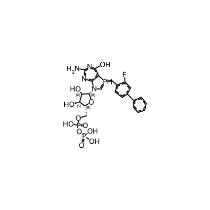 Nc1nc(O)c2c(n1)N([C@@H]1O[C@H](COP(=O)(O)OP(=O)(O)O)[C@@H](O)[C@H]1O)C=[PH]2Cc1ccc(-c2ccccc2)cc1F